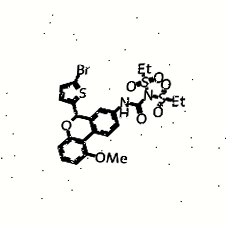 CCS(=O)(=O)N(C(=O)Nc1ccc2c(c1)C(c1ccc(Br)s1)Oc1cccc(OC)c1-2)S(=O)(=O)CC